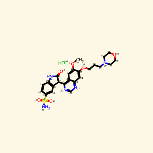 COc1cc2c(C3C(=O)Nc4ccc(S(N)(=O)=O)cc43)ncnc2cc1OCCCN1CCOCC1.Cl